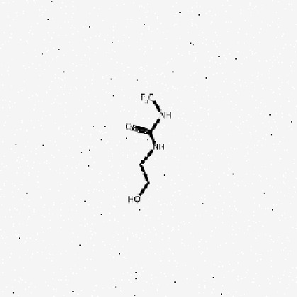 O=C(NCCO)NC(F)(F)F